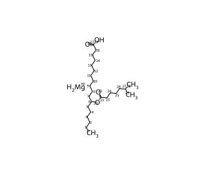 CCCCCCC(CCCCCCCCCCC(=O)O)OC(=O)CCCCC(C)C.[MgH2]